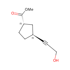 COC(=O)[C@H]1CC[C@H](C#CCO)C1